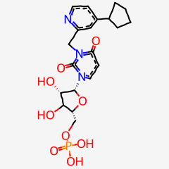 O=c1ccn([C@@H]2O[C@H](COP(=O)(O)O)C(O)[C@@H]2O)c(=O)n1Cc1cc(C2CCCC2)ccn1